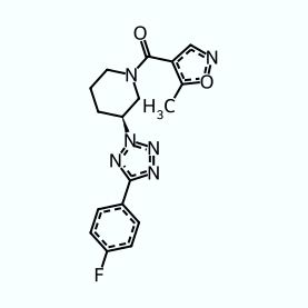 Cc1oncc1C(=O)N1CCC[C@H](n2nnc(-c3ccc(F)cc3)n2)C1